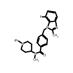 Cc1nc2cccc(F)c2n1Cc1ccc(C(=O)N(C)C2CCN(C(C)C)CC2)cc1